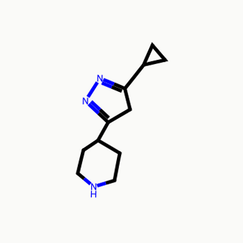 C1CC(C2=NN=C(C3CC3)C2)CCN1